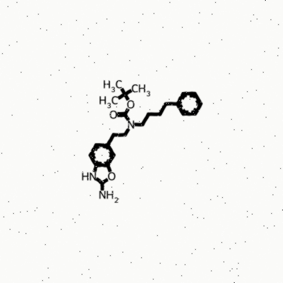 CC(C)(C)OC(=O)N(CCCCc1ccccc1)CCc1ccc2c(c1)OC(N)N2